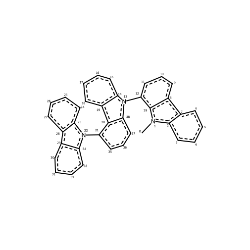 Cn1c2ccccc2c2cccc(-n3c4ccccc4c4c(-n5c6ccccc6c6ccccc65)cccc43)c21